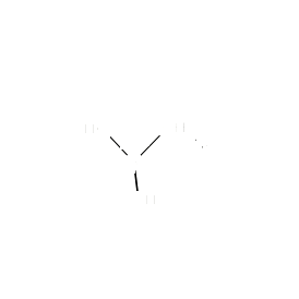 OB(O)O.[CaH2].[Nd]